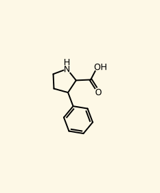 O=C(O)C1NCCC1c1ccccc1